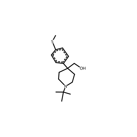 CSc1ccc(C2(CO)CCN(C(C)(C)C)CC2)cc1